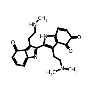 CNCCC1=C2C(=O)C=CC=C2N=C1c1[nH]c2c(c1CCN(C)C)C(=O)C(=O)C=C2